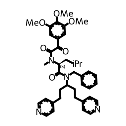 COc1cc(C(=O)C(=O)N(C)[C@@H](CC(C)C)C(=O)N(Cc2ccccc2)C(CCc2ccncc2)CCc2ccncc2)cc(OC)c1OC